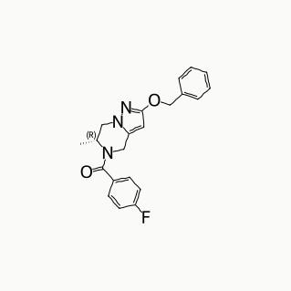 C[C@@H]1Cn2nc(OCc3ccccc3)cc2CN1C(=O)c1ccc(F)cc1